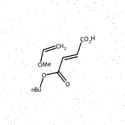 C=COC.CCCCOC(=O)C=CC(=O)O